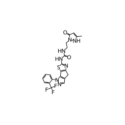 Cc1cc(=O)n(CCNC(=O)Nc2nc3c(s2)-c2c(cnn2-c2ccccc2C(F)(F)F)C3)[nH]1